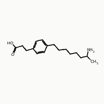 CC(N)CCCCCCc1ccc(CCC(=O)O)cc1